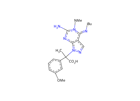 CCC(C)/N=c1/c2cnn(C(C)(C(=O)O)c3cccc(OC)c3)c2nc(N)n1NC